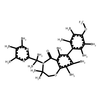 Bc1nc(C(B)(B)N2C(=O)c3c(B)c(-c4c(B)c(B)c(OC(F)(F)F)c(B)c4B)c(B)c(B)c3OCC2(B)B)nc(B)c1B